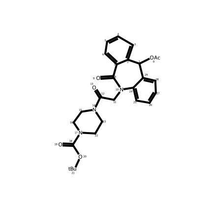 CC(=O)OC1c2ccccc2C(=O)N(CC(=O)N2CCN(C(=O)OC(C)(C)C)CC2)c2ccccc21